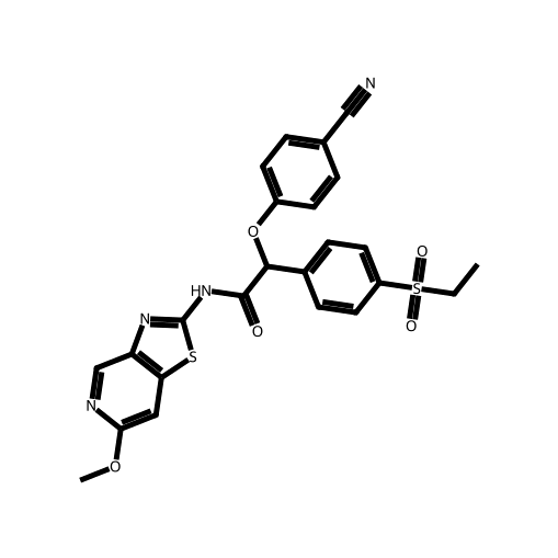 CCS(=O)(=O)c1ccc(C(Oc2ccc(C#N)cc2)C(=O)Nc2nc3cnc(OC)cc3s2)cc1